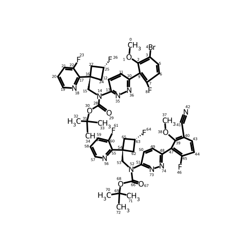 COc1c(Br)ccc(F)c1-c1ccc(N(C[C@]2(c3ncccc3F)C[C@@H](F)C2)C(=O)OC(C)(C)C)nn1.COc1c(C#N)ccc(F)c1-c1ccc(N(C[C@]2(c3ncccc3F)C[C@@H](F)C2)C(=O)OC(C)(C)C)nn1